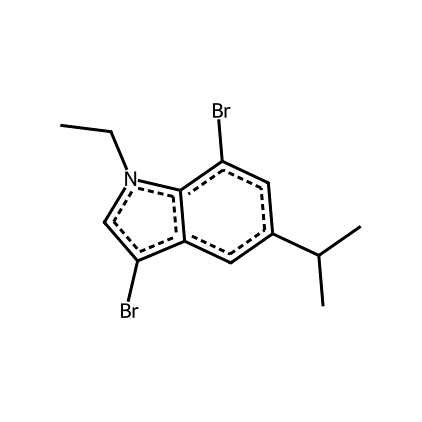 CCn1cc(Br)c2cc(C(C)C)cc(Br)c21